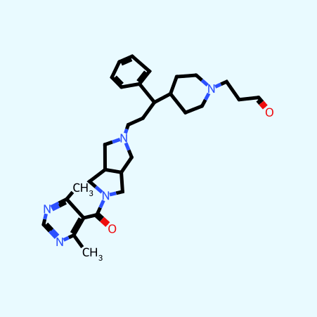 Cc1ncnc(C)c1C(=O)N1CC2CN(CCC(c3ccccc3)C3CCN(CCC=O)CC3)CC2C1